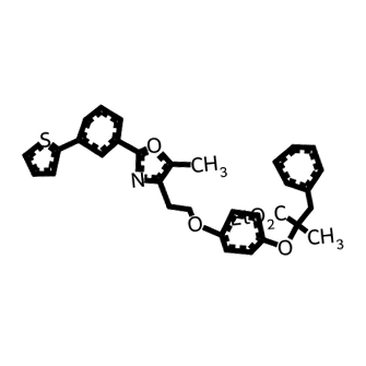 CCOC(=O)C(C)(Cc1ccccc1)Oc1ccc(OCCc2nc(-c3cccc(-c4cccs4)c3)oc2C)cc1